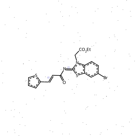 CCOC(=O)Cn1/c(=N/C(=O)/C=C/c2cccs2)sc2cc(Br)ccc21